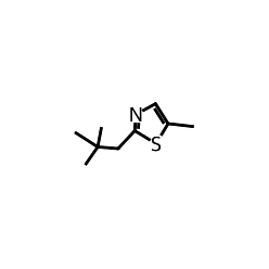 Cc1cnc(CC(C)(C)C)s1